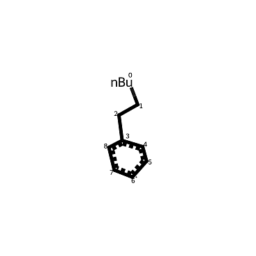 CCCCCCc1cc[c]cc1